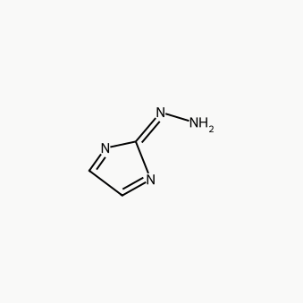 NN=C1N=CC=N1